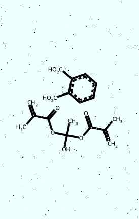 C=C(C)C(=O)OC(C)(O)OC(=O)C(=C)C.O=C(O)c1ccccc1C(=O)O